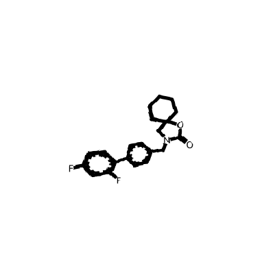 O=C1OC2(CCCCC2)CN1Cc1ccc(-c2ccc(F)cc2F)cc1